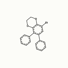 CCc1[c]c(-c2ccccc2)c(-c2ccccc2)c2c1OCCO2